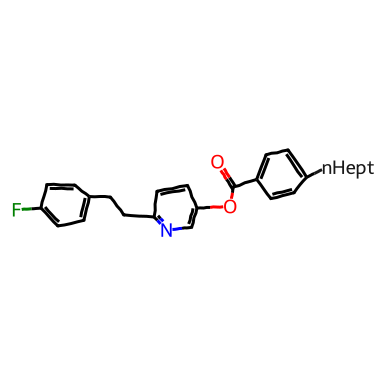 CCCCCCCc1ccc(C(=O)Oc2ccc(CCc3ccc(F)cc3)nc2)cc1